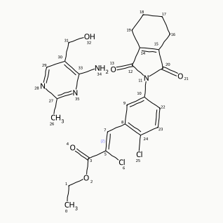 CCOC(=O)/C(Cl)=C/c1cc(N2C(=O)C3=C(CCCC3)C2=O)ccc1Cl.Cc1ncc(CO)c(N)n1